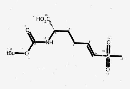 CC(C)(C)OC(=O)N[C@@H](CC/C=C/S(C)(=O)=O)C(=O)O